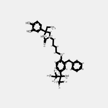 CCC1(c2ccc(O)c(O)c2)CN(CCCCOc2ccc(C(O)(C(F)(F)F)C(F)(F)F)cc2Cc2ccccc2)C(=O)N1